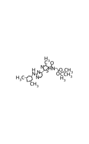 Cc1cc(C)cc(Nc2nccc(-c3nc(C)c(C(=O)NCC(=O)OC(C)(C)C)s3)n2)c1